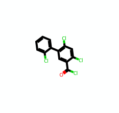 O=C(Cl)c1cc(-c2ccccc2Cl)c(Cl)cc1Cl